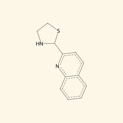 c1ccc2nc(C3NCCS3)ccc2c1